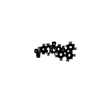 NC[C@@H]1C[C@H](SC(c2ccccc2)(c2ccccc2)c2ccccc2)CN1C(=O)OCc1ccc([N+](=O)[O-])cc1